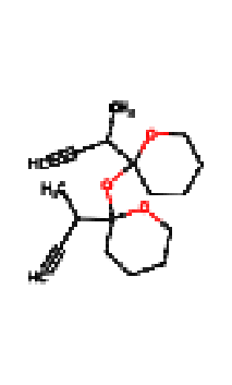 C#CC(C)C1(OC2(C(C)C#C)CCCCO2)CCCCO1